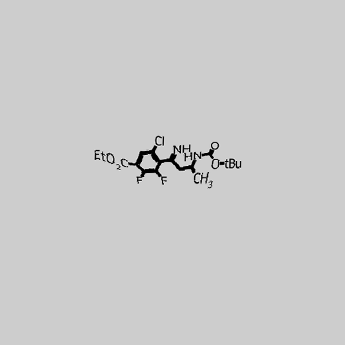 CCOC(=O)c1cc(Cl)c(C(=N)CC(C)NC(=O)OC(C)(C)C)c(F)c1F